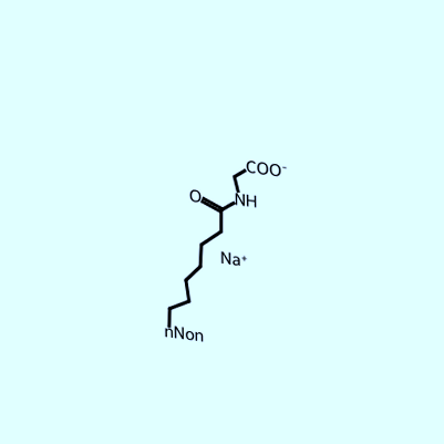 CCCCCCCCCCCCCCCC(=O)NCC(=O)[O-].[Na+]